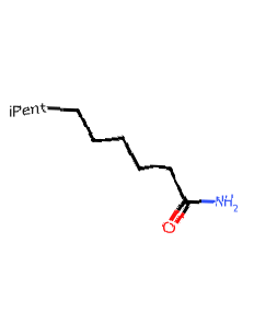 CCCC(C)CCCCCC(N)=O